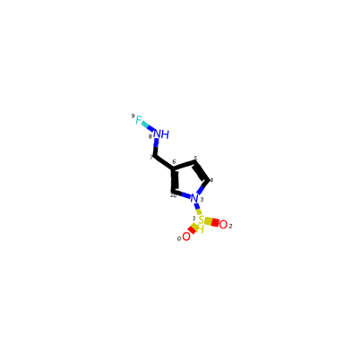 O=[SH](=O)n1ccc(CNF)c1